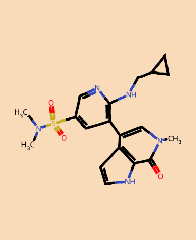 CN(C)S(=O)(=O)c1cnc(NCC2CC2)c(-c2cn(C)c(=O)c3[nH]ccc23)c1